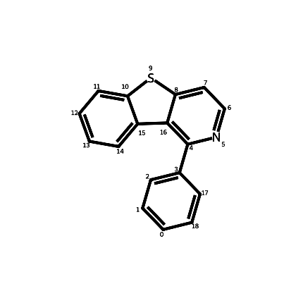 c1ccc(-c2nccc3sc4ccccc4c23)cc1